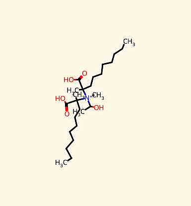 CCCCCCCCC(C)(C(=O)O)[N+](C)(C(C)O)C(C)(CCCCCCCC)C(=O)O